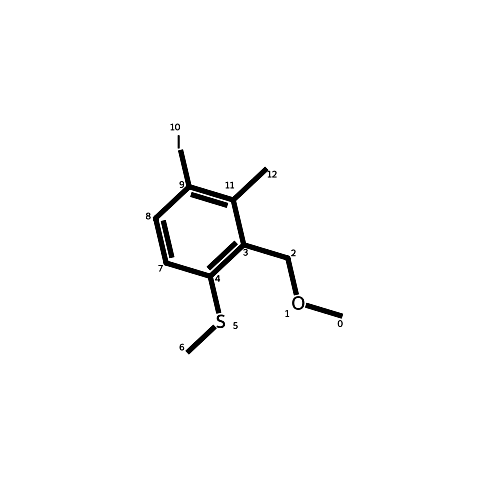 COCc1c(SC)ccc(I)c1C